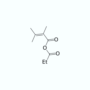 CCC(=O)OC(=O)C(C)=C(C)C